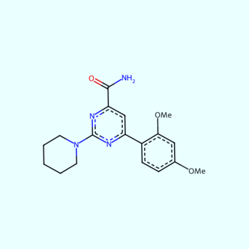 COc1ccc(-c2cc(C(N)=O)nc(N3CCCCC3)n2)c(OC)c1